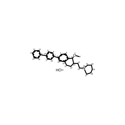 COC1c2ccc(-c3ccc(-c4ccccc4)cc3)cc2CCC1CCN1CCCCC1.Cl